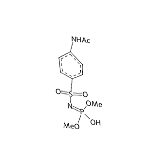 COP(O)(=NS(=O)(=O)c1ccc(NC(C)=O)cc1)OC